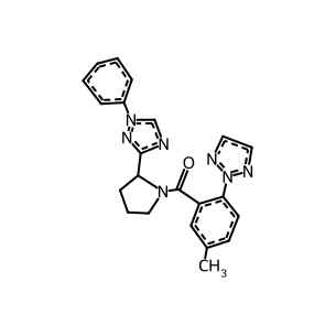 Cc1ccc(-n2nccn2)c(C(=O)N2CCCC2c2ncn(-c3ccccc3)n2)c1